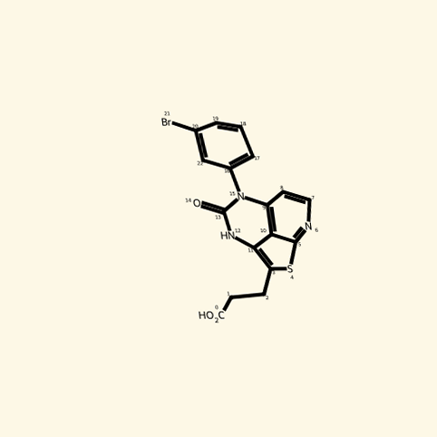 O=C(O)CCc1sc2nccc3c2c1NC(=O)N3c1cccc(Br)c1